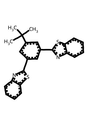 CC(C)(C)c1cc(-c2nc3ccccc3s2)cc(-c2nc3ccccc3s2)c1